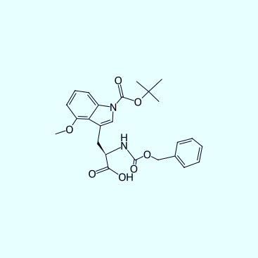 COc1cccc2c1c(C[C@@H](NC(=O)OCc1ccccc1)C(=O)O)cn2C(=O)OC(C)(C)C